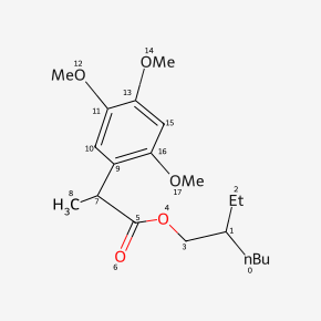 CCCCC(CC)COC(=O)C(C)c1cc(OC)c(OC)cc1OC